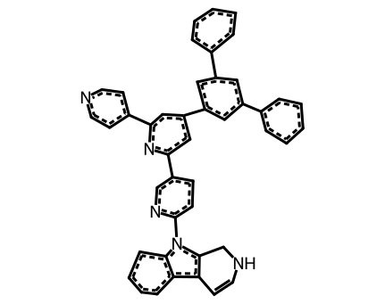 C1=Cc2c(n(-c3ccc(-c4cc(-c5cc(-c6ccccc6)cc(-c6ccccc6)c5)cc(-c5ccncc5)n4)cn3)c3ccccc23)CN1